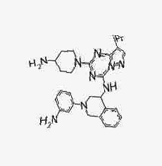 CC(C)c1cnn2c(NC3CN(c4cccc(N)c4)Cc4ccccc43)nc(N3CCC(N)CC3)nc12